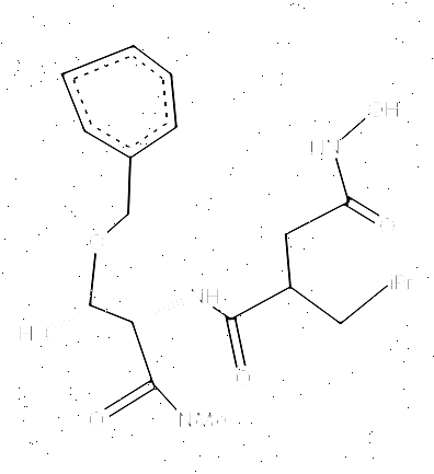 CNC(=O)[C@@H](NC(=O)C(CC(=O)NO)CC(C)C)[C@H](C)OCc1ccccc1